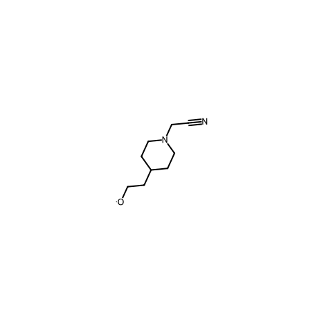 N#CCN1CCC(CC[O])CC1